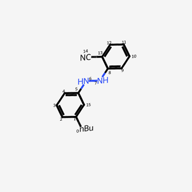 CCCCc1cccc(NNc2ccccc2C#N)c1